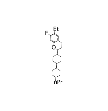 CCCC1CCC(C2CCC(C3CCc4cc(CC)c(F)cc4O3)CC2)CC1